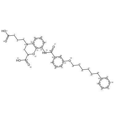 O=C(O)CCCN1CC(C(=O)O)Oc2c(NC(=O)c3cccc(OCCCCCCc4ccccc4)c3)cccc21